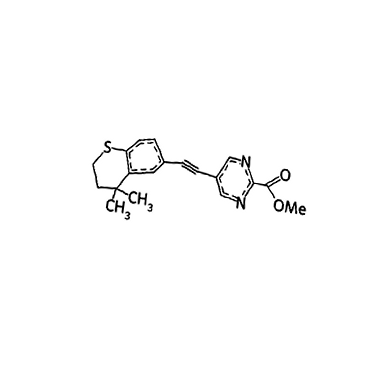 COC(=O)c1ncc(C#Cc2ccc3c(c2)C(C)(C)CCS3)cn1